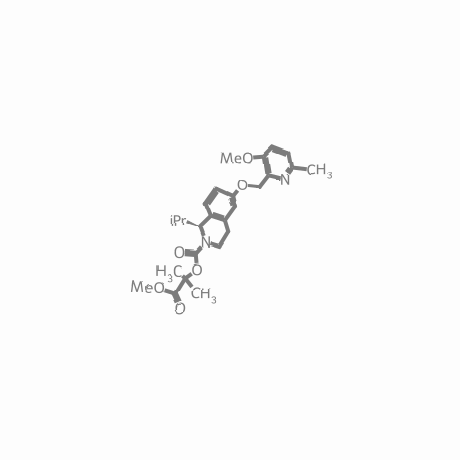 COC(=O)C(C)(C)OC(=O)N1CCc2cc(OCc3nc(C)ccc3OC)ccc2[C@@H]1C(C)C